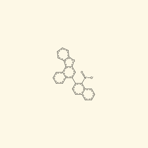 O=[N+]([O-])c1c(-c2cc3sc4ccccc4c3c3ccccc23)ccc2ccccc12